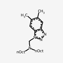 CCCCCCCCN(CCCCCCCC)Cn1nnc2cc(C)c(C)cc21